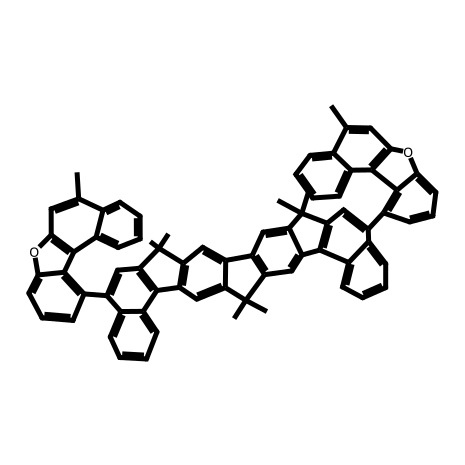 Cc1cc2oc3cccc(-c4cc5c(c6ccccc46)-c4cc6c(cc4C5(C)C)-c4cc5c(cc4C6(C)C)-c4c(cc(-c6cccc7oc8cc(C)c9ccccc9c8c67)c6ccccc46)C5(C)C)c3c2c2ccccc12